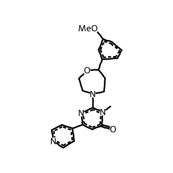 COc1cccc(C2CCN(c3nc(-c4ccncc4)cc(=O)n3C)CCO2)c1